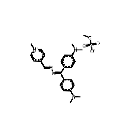 CN(C)c1ccc(C(=NN=Cc2cc[n+](C)cc2)c2ccc(N(C)C)cc2)cc1.COS(=O)(=O)[O-]